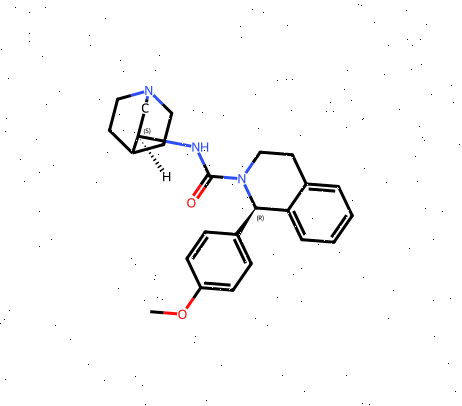 COc1ccc([C@@H]2c3ccccc3CCN2C(=O)N[C@@H]2CN3CCC2CC3)cc1